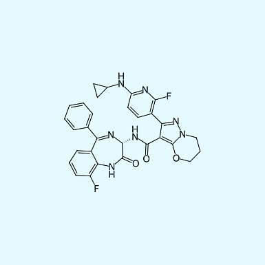 O=C(N[C@H]1N=C(c2ccccc2)c2cccc(F)c2NC1=O)c1c(-c2ccc(NC3CC3)nc2F)nn2c1OCCC2